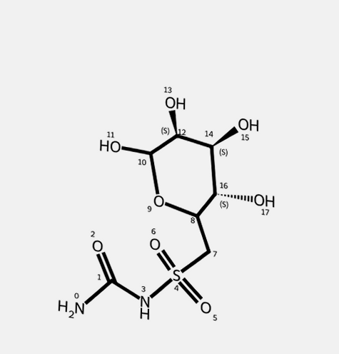 NC(=O)NS(=O)(=O)CC1OC(O)[C@@H](O)[C@@H](O)[C@@H]1O